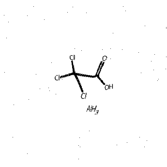 O=C(O)C(Cl)(Cl)Cl.[AlH3]